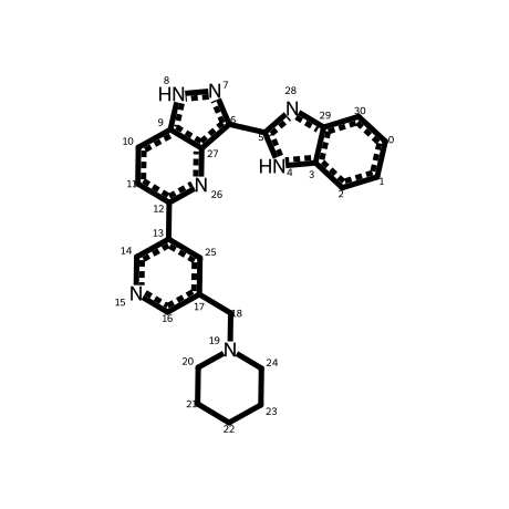 c1ccc2[nH]c(-c3n[nH]c4ccc(-c5cncc(CN6CCCCC6)c5)nc34)nc2c1